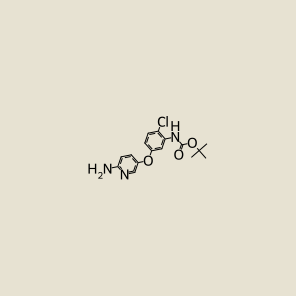 CC(C)(C)OC(=O)Nc1cc(Oc2ccc(N)nc2)ccc1Cl